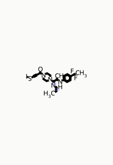 C=C(Nc1ccc(C(C)(F)F)cc1)/C(=N\C=C/C)N1CCN(C(=O)C#CSI)CC1